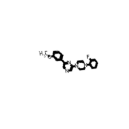 COc1cccc(-c2cncc(N3CCN(c4ccccc4F)CC3)n2)c1